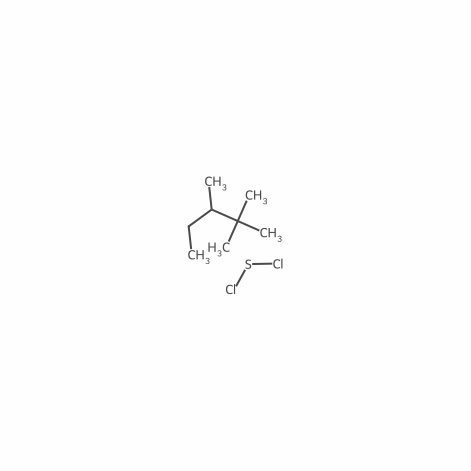 CCC(C)C(C)(C)C.ClSCl